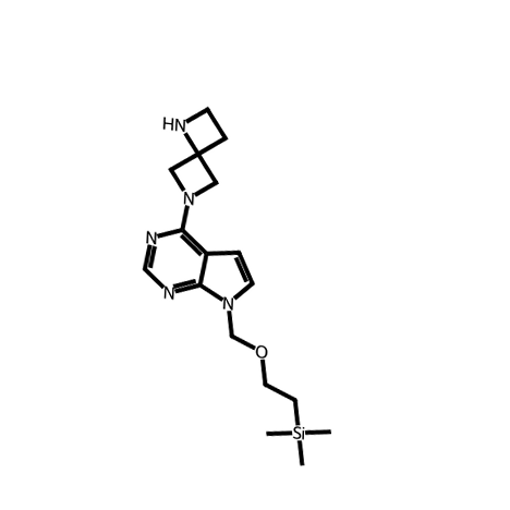 C[Si](C)(C)CCOCn1ccc2c(N3CC4(CCN4)C3)ncnc21